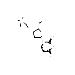 C[Si](C)(C)CC[C@H]1C[C@H](n2ccc(=O)[nH]c2=O)O[C@@H]1CS